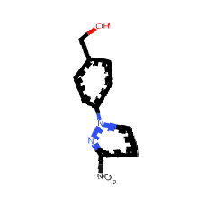 O=[N+]([O-])c1ccn(-c2ccc(CO)cc2)n1